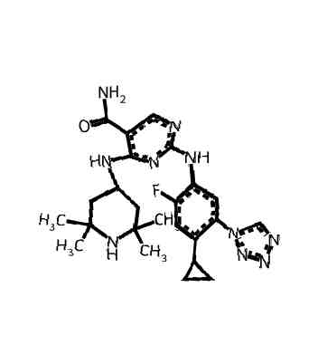 CC1(C)CC(Nc2nc(Nc3cc(-n4cnnn4)c(C4CC4)cc3F)ncc2C(N)=O)CC(C)(C)N1